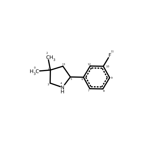 CC1(C)CNC(c2cccc(F)c2)C1